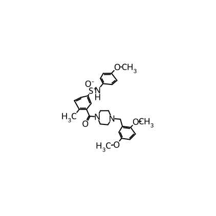 COc1ccc(N[S+]([O-])c2ccc(C)c(C(=O)N3CCN(Cc4cc(OC)ccc4OC)CC3)c2)cc1